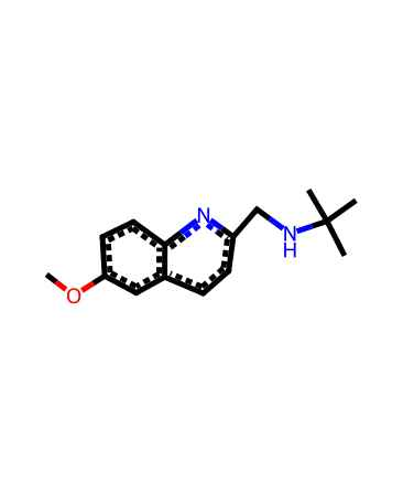 COc1ccc2nc(CNC(C)(C)C)ccc2c1